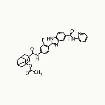 CC(=O)OC12CC3CC(C1)CC(C(=O)Nc1ccc(-c4nc5cc(C(=O)Nc6ccccn6)ccc5[nH]4)c(F)c1)(C3)C2